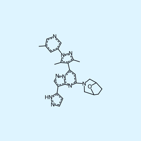 Cc1cncc(-n2nc(C)c(-c3cc(N4CC5CCC(C4)O5)nc4c(-c5ccn[nH]5)cnn34)c2C)c1